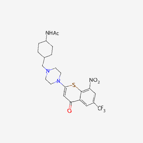 CC(=O)NC1CCC(CN2CCN(c3cc(=O)c4cc(C(F)(F)F)cc([N+](=O)[O-])c4s3)CC2)CC1